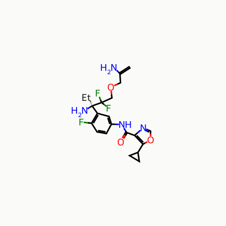 C=C(N)COCC(F)(F)[C@@](N)(CC)c1cc(NC(=O)c2ncoc2C2CC2)ccc1F